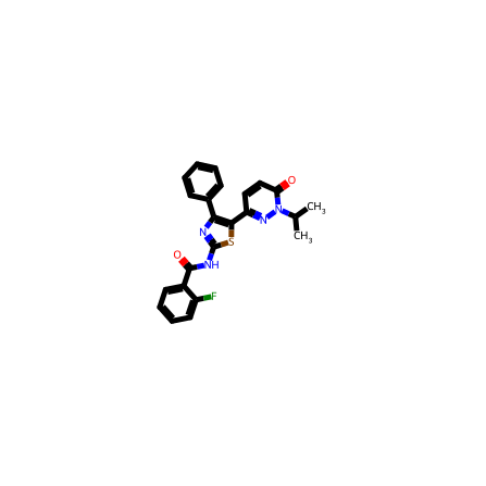 CC(C)n1nc(-c2sc(NC(=O)c3ccccc3F)nc2-c2ccccc2)ccc1=O